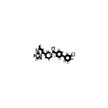 Cc1cc(C2CCCN(C(=O)c3ccc(-c4cccc(Cl)c4)cc3)C2)n2ncnc2n1